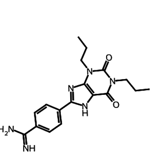 CCCn1c(=O)c2[nH]c(-c3ccc(C(=N)N)cc3)nc2n(CCC)c1=O